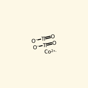 [Co+2].[O]=[Tl][O-].[O]=[Tl][O-]